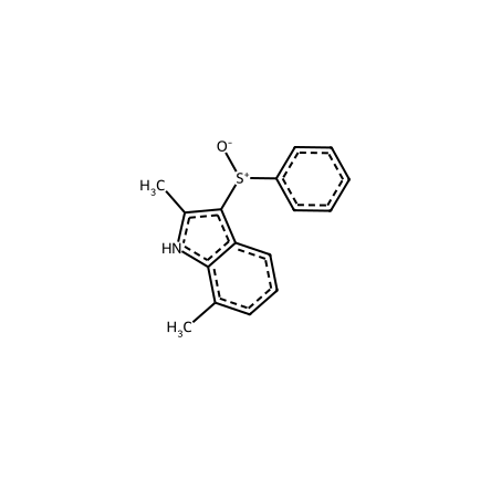 Cc1[nH]c2c(C)cccc2c1[S+]([O-])c1ccccc1